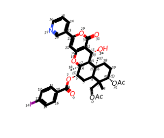 CC(=O)OCC1(C)C2C[C@H](OC(=O)c3ccc(I)cc3)[C@@]3(C)Oc4cc(-c5cccnc5)oc(=O)c4[C@H](O)C3[C@@]2(C)CC[C@@H]1OC(C)=O